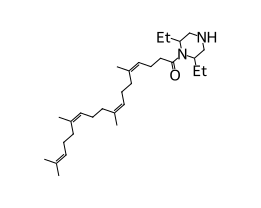 CCC1CNCC(CC)N1C(=O)CCC=C(C)CCC=C(C)CCC=C(C)CCC=C(C)C